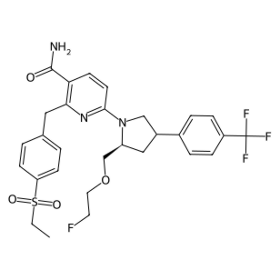 CCS(=O)(=O)c1ccc(Cc2nc(N3CC(c4ccc(C(F)(F)F)cc4)C[C@H]3COCCF)ccc2C(N)=O)cc1